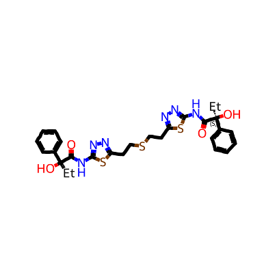 CCC(O)(C(=O)Nc1nnc(CCSCCc2nnc(NC(=O)[C@](O)(CC)c3ccccc3)s2)s1)c1ccccc1